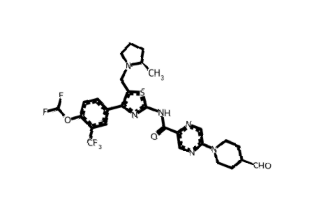 C[C@@H]1CCCN1Cc1sc(NC(=O)c2cnc(N3CCC(C=O)CC3)cn2)nc1-c1ccc(OC(F)F)c(C(F)(F)F)c1